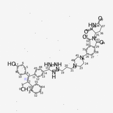 CC/C(=C(\c1ccc(O)cc1)c1ccc(C2NNN(CCCN3CCN(c4ccc5c(c4)C(=O)N(C4CCC(=O)NC4=O)C5=O)CC3)N2)cc1)c1ccccc1